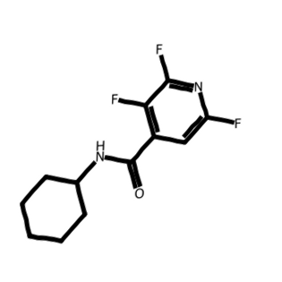 O=C(NC1CCCCC1)c1cc(F)nc(F)c1F